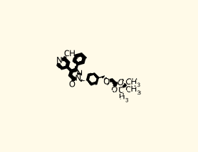 Cc1cc(-c2cc(=O)n(C[C@H]3CC[C@H](COCC(=O)OC(C)(C)C)CC3)nc2-c2ccccc2)ccn1